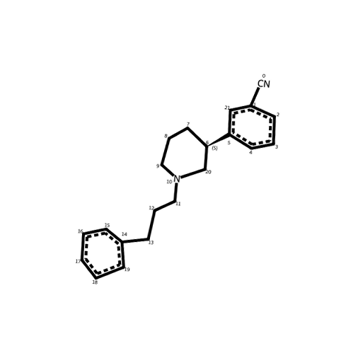 N#Cc1cccc([C@@H]2CCCN(CCCc3ccccc3)C2)c1